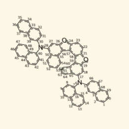 c1ccc2cc(N(c3cccc4ccccc34)c3cc4oc5ccc6oc7cc(N(c8ccc9ccccc9c8)c8cccc9ccccc89)c8ccccc8c7c6c5c4c4ccccc34)ccc2c1